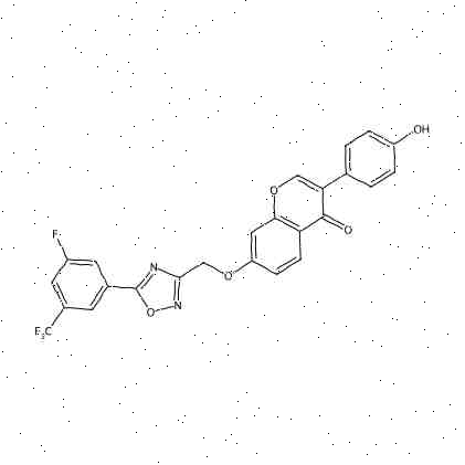 O=c1c(-c2ccc(O)cc2)coc2cc(OCc3noc(-c4cc(F)cc(C(F)(F)F)c4)n3)ccc12